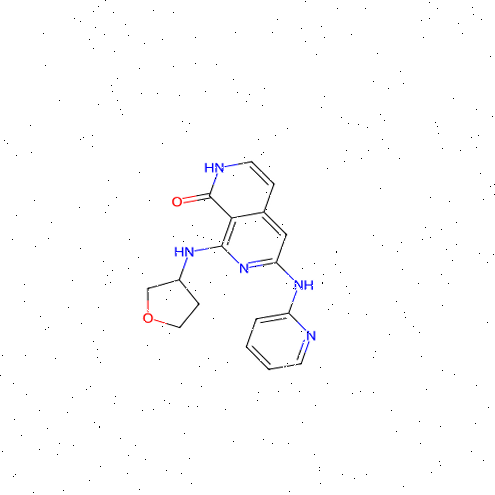 O=c1[nH]ccc2cc(Nc3ccccn3)nc(NC3CCOC3)c12